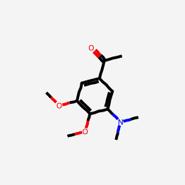 COc1cc(C(C)=O)cc(N(C)C)c1OC